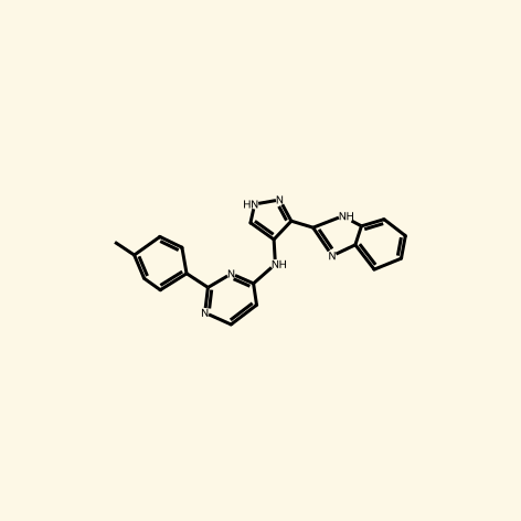 Cc1ccc(-c2nccc(Nc3c[nH]nc3-c3nc4ccccc4[nH]3)n2)cc1